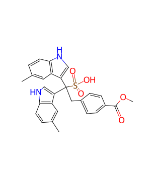 COC(=O)c1ccc(CC(c2c[nH]c3ccc(C)cc23)(c2c[nH]c3ccc(C)cc23)S(=O)(=O)O)cc1